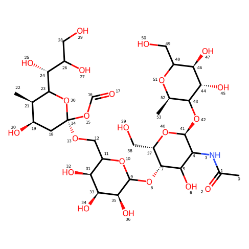 CC(=O)NC1C(O)[C@H](OC2OC(CO[C@]3(OC=O)C[C@@H](O)[C@@H](C)C([C@H](O)C(O)CO)O3)[C@H](O)[C@H](O)[C@@H]2O)[C@H](CO)O[C@H]1OC1[C@@H](O)[C@H](O)C(CO)O[C@@H]1C